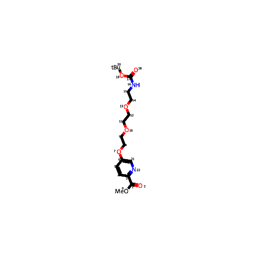 COC(=O)c1ccc(OCCOCCOCCNC(=O)OC(C)(C)C)cn1